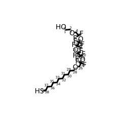 OCCOCC(F)(F)OC(F)(F)C(F)(F)OC(F)(F)C(F)(F)OC(F)(F)COCCCCCCCCCCCS